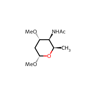 CO[C@@H]1C[C@H](OC)[C@@H](NC(C)=O)[C@@H](C)O1